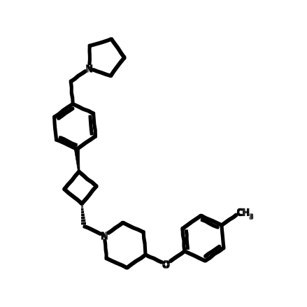 Cc1ccc(OC2CCN(C[C@H]3C[C@H](c4ccc(CN5CCCC5)cc4)C3)CC2)cc1